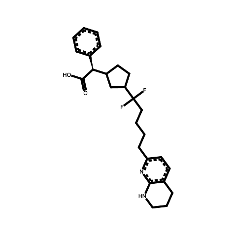 O=C(O)[C@@H](c1ccccc1)C1CCC(C(F)(F)CCCCc2ccc3c(n2)NCCC3)C1